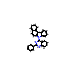 c1ccc(-c2nc(-n3c4ccccc4c4c5ccccc5ccc43)c3ccccc3n2)cc1